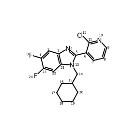 Fc1cc2nc(-c3cccnc3Cl)n(CC3CCCCC3)c2cc1F